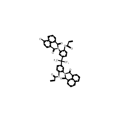 C=CC(=O)Oc1ccc(C(c2ccc(OC(=O)C=C)c(N3C(=O)c4cccc5c(Cl)ccc(c45)C3=O)c2)(C(F)(F)F)C(F)(F)F)cc1N1C(=O)c2cccc3cccc(c23)C1=O